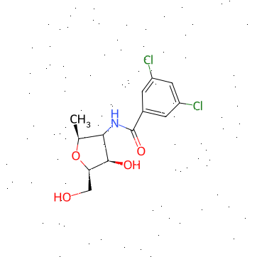 C[C@@H]1O[C@H](CO)[C@H](O)C1NC(=O)c1cc(Cl)cc(Cl)c1